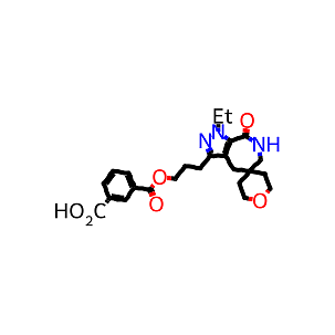 CCn1nc(CCCOC(=O)c2cccc(C(=O)O)c2)c2c1C(=O)NCC1(CCOCC1)C2